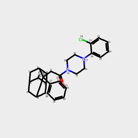 CC1C2CC3CC1CC(C2)C3(CC(=O)N1CCN(c2ccccc2Cl)CC1)c1ccccc1